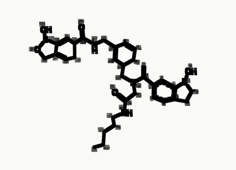 C=C(c1ccc2c(c1)B(O)CC2)N(CC(=O)NCCCCC)CC1C=C(CNC(=O)C2C=C3B(O)OCC3=CC2)C=CC1